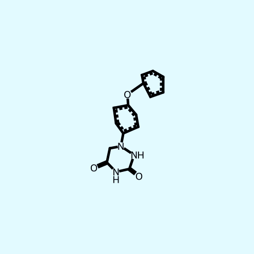 O=C1CN(c2ccc(Oc3ccccc3)cc2)NC(=O)N1